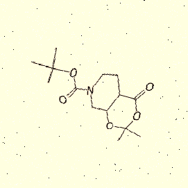 CC(C)(C)OC(=O)N1CCC2C(=O)OC(C)(C)OC2C1